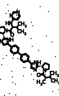 CC(C)[C@H](C)C(=O)N1CCC[C@H]1c1ncc(-c2ccc(-c3ccc(-c4cnc([C@@H]5CCCN5C(=O)[C@@H](Nc5ccncn5)C(C)C)[nH]4)cc3)cc2)[nH]1